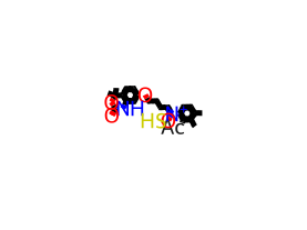 CC(=O)c1c([N+](=CCCCOc2ccc3c(c2)NC(=O)OC3(C)C)OS)ccc(C)c1C